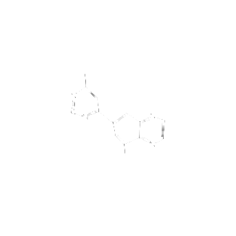 Cc1cc(-c2cc(Cl)c3nccnc3c2)ncn1